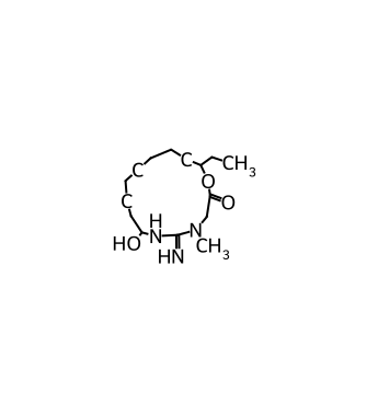 CCC1CCCCCCCC(O)NC(=N)N(C)CC(=O)O1